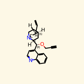 C#CCO[C@H](c1ccnc2ccccc12)[C@@H]1C[C@@H]2CCN1C[C@@H]2C=C